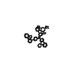 CCC1CC(CC)C2(c3ccccc3-c3cc(N(c4ccc(-c5cccc6c5oc5ccccc56)cc4)c4ccc5c(c4)C4(CCCC4)c4ccccc4-5)ccc32)C(CC)C1